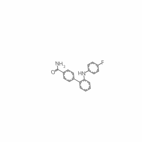 NC(=O)c1ccc(-c2ccccc2Nc2ccc(F)cc2)cc1